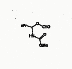 CCCC(NC(=O)OC)O[C]=O